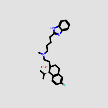 CC(C)[C@H]1c2ccc(F)cc2CC[C@]1(O)CCN(C)CCCCc1nc2ccccc2[nH]1